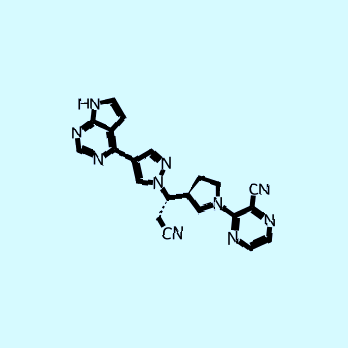 N#CC[C@@H]([C@H]1CCN(c2nccnc2C#N)C1)n1cc(-c2ncnc3[nH]ccc23)cn1